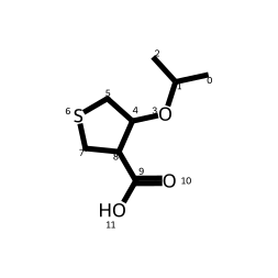 CC(C)OC1CSCC1C(=O)O